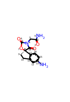 NC(=O)CN1C(=O)O[C@@]2(CCc3cc(N)ccc32)C1=O